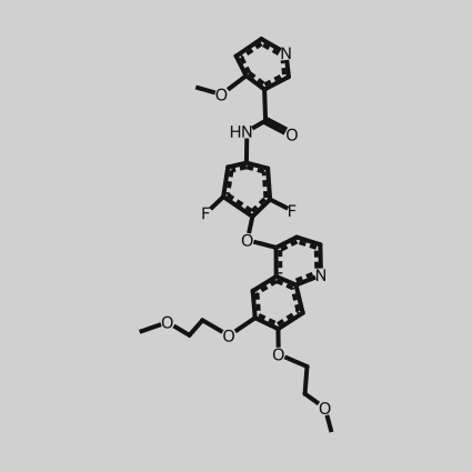 COCCOc1cc2nccc(Oc3c(F)cc(NC(=O)c4cnccc4OC)cc3F)c2cc1OCCOC